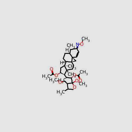 COCC1C(C)COC1(OC)[C@H](OC(C)=O)[C@@H](C)[C@H]1[C@@H](OC(C)=O)C[C@@]2(C)[C@@H]3CC[C@H]4[C@H](C)/C(=N/OC)C=C[C@@]45C[C@@]35CC[C@]12C